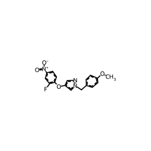 COc1ccc(Cn2cc(Oc3ccc([N+](=O)[O-])cc3F)cn2)cc1